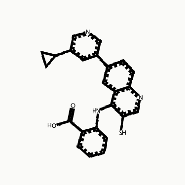 O=C(O)c1ccccc1Nc1c(S)cnc2ccc(-c3cncc(C4CC4)c3)cc12